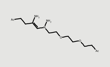 CC(=O)CCOCCOCCN(N)/C=C(\N)CCC(C)=O